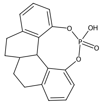 O=P1(O)Oc2cccc3c2C2c4c(cccc4O1)CCC2CC3